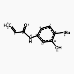 C=CC(=O)Nc1ccc(C(C)(C)C)c(O)c1